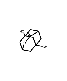 O=C1OC2CC3(O)CC1CC(O)(C2)C3